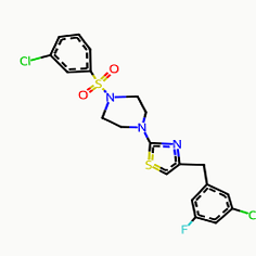 O=S(=O)(c1cccc(Cl)c1)N1CCN(c2nc(Cc3cc(F)cc(Cl)c3)cs2)CC1